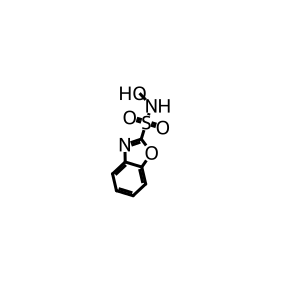 O=S(=O)(NO)c1nc2ccccc2o1